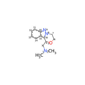 CN(C)CC1OCCn2nc3ccccc3c21